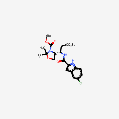 CCOC(=O)CC(NC(=O)c1cc2cc(Cl)ccc2[nH]1)[C@@H]1COC(C)(C)N1C(=O)OC(C)(C)C